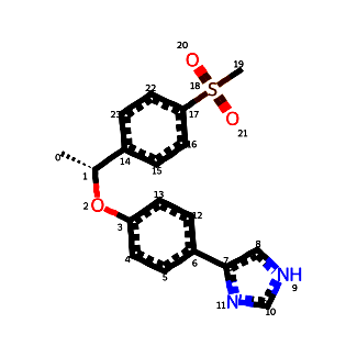 C[C@@H](Oc1ccc(-c2c[nH]cn2)cc1)c1ccc(S(C)(=O)=O)cc1